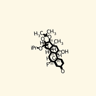 CC(C)OCC(=O)[C@@]12OC(C)(C)O[C@@H]1C[C@H]1[C@@H]3C[C@H](F)C4=CC(=O)C=C[C@]4(C)[C@H]3[C@@H](O)C[C@@]12C